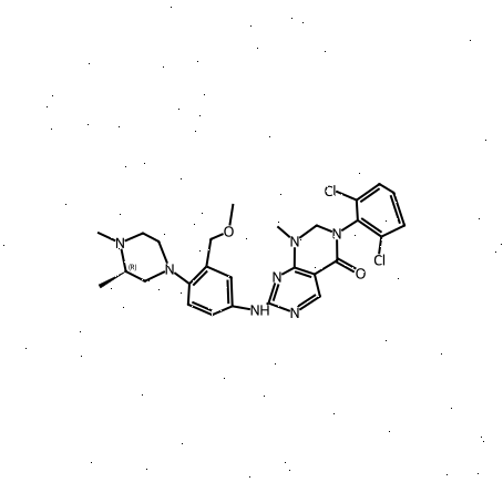 COCc1cc(Nc2ncc3c(n2)N(C)CN(c2c(Cl)cccc2Cl)C3=O)ccc1N1CCN(C)[C@H](C)C1